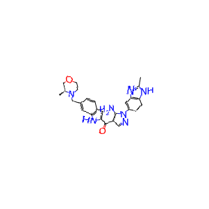 Cc1nc2cc(-n3ncc(C(=O)c4cc5ccc(CN6CCOC[C@@H]6C)cc5[nH]4)c3N)ccc2[nH]1